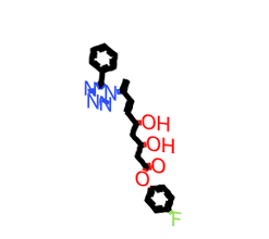 C=C(C=CC(O)CC(O)CC(=O)Oc1ccc(F)cc1)n1nnnc1-c1ccccc1